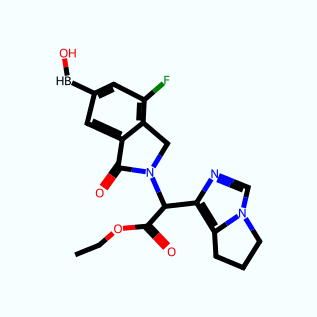 CCOC(=O)C(c1ncn2c1CCC2)N1Cc2c(F)cc(BO)cc2C1=O